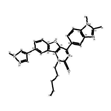 CCCCCn1c(=O)nc(-c2ccc3c(c2)nc(C)n3C)c2oc3ccc(-c4cnn(C)c4)cc3c21